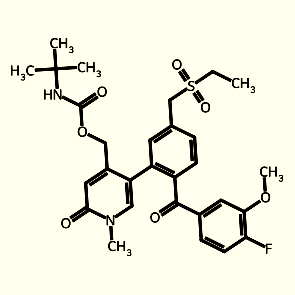 CCS(=O)(=O)Cc1ccc(C(=O)c2ccc(F)c(OC)c2)c(-c2cn(C)c(=O)cc2COC(=O)NC(C)(C)C)c1